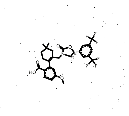 COc1ccc(C(=O)O)c(C2=C(CN3C(=O)O[C@H](c4cc(C(F)(F)F)cc(C(F)(F)F)c4)[C@@H]3C)CC(C)(C)CC2)c1